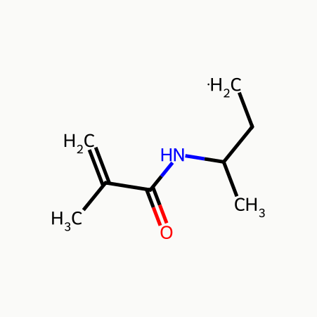 [CH2]CC(C)NC(=O)C(=C)C